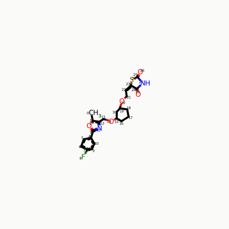 Cc1oc(-c2ccc(F)cc2)nc1COC1CCCC(OCC=C2SC(=O)NC2=O)C1